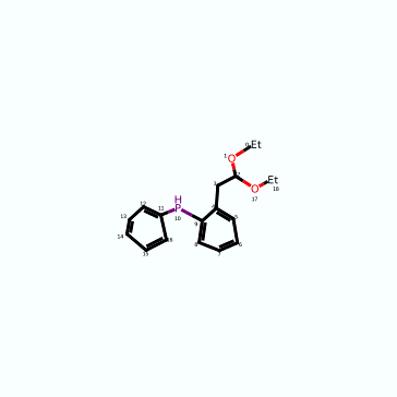 CCOC(Cc1ccccc1Pc1ccccc1)OCC